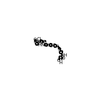 COc1cc(N2CCN(C3CCN(CC4CN(c5ccc(NC6CCC(=O)NC6=O)cc5)C4)CC3)CC2)ccc1Nc1ncc(Cl)c(Nc2ccccc2P(C)(C)=O)n1